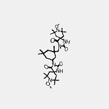 CON1C(C)(C)CC2(CC1(C)C)NC(=O)N(CC1(C)CC(N3C(=O)NC4(CC(C)(C)N(OC)C(C)(C)C4)C3=O)CC(C)(C)C1)C2=O